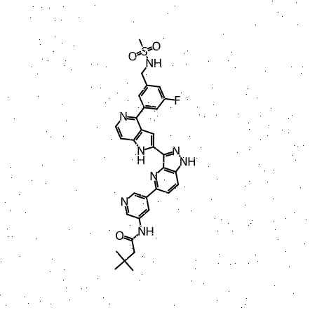 CC(C)(C)CC(=O)Nc1cncc(-c2ccc3[nH]nc(-c4cc5c(-c6cc(F)cc(CNS(C)(=O)=O)c6)nccc5[nH]4)c3n2)c1